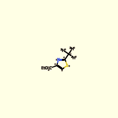 [2H]C([2H])([2H])c1nc(C(=O)OCC)cs1